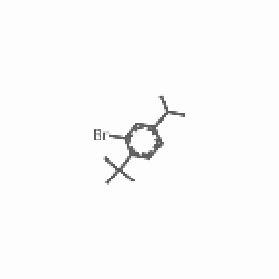 CC(C)c1ccc(C(C)(C)C)c(Br)c1